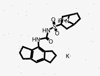 CC(C)N1C2CCC1CC(S(=O)(=O)NC(=O)Nc1c3c(cc4c1CCC4)CCC3)C2.[K]